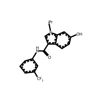 CC(C)n1cc(C(=O)Nc2cccc(C(F)(F)F)c2)c2ccc(O)cc21